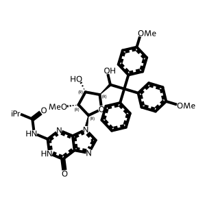 COc1ccc(C(c2ccccc2)(c2ccc(OC)cc2)C(O)[C@H]2O[C@@H](n3cnc4c(=O)[nH]c(NC(=O)C(C)C)nc43)[C@H](OC)[C@@H]2O)cc1